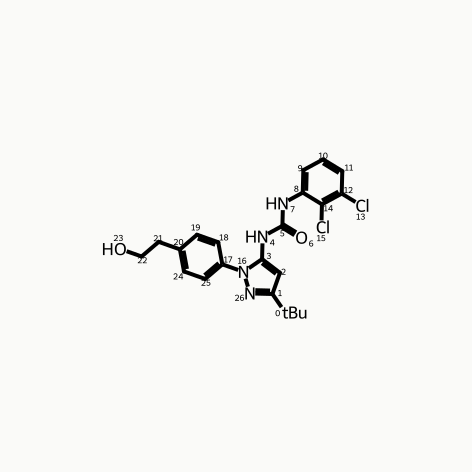 CC(C)(C)c1cc(NC(=O)Nc2cccc(Cl)c2Cl)n(-c2ccc(CCO)cc2)n1